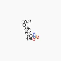 C=C(C)[C@@H]1CC[C@]2(C(=O)NS(=C)(C)=O)CC[C@]3(C)[C@H](CC[C@@H]4[C@@]5(C)CC=C(c6ccc(C(=O)O)cc6)C(C)(C)[C@@H]5CC[C@]43C)[C@@H]12